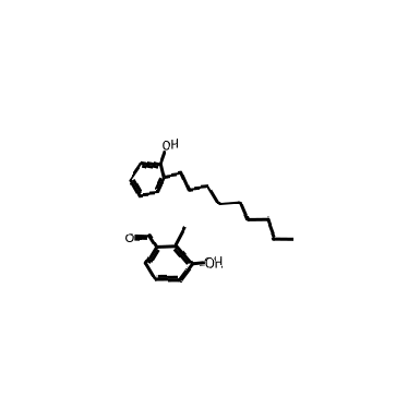 CCCCCCCCCc1ccccc1O.Cc1c(O)cccc1C=O